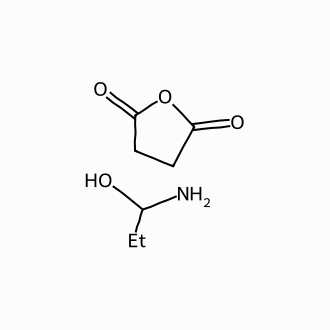 CCC(N)O.O=C1CCC(=O)O1